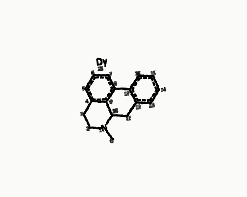 CN1CCc2cccc3c2C1Cc1ccccc1-3.[Dy]